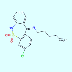 O=C(O)CCCCN=C1c2ccccc2NS(=O)(=O)c2cc(Cl)ccc21